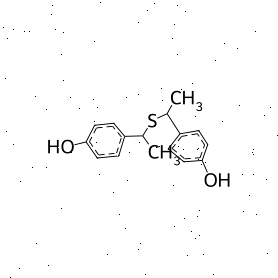 CC(SC(C)c1ccc(O)cc1)c1ccc(O)cc1